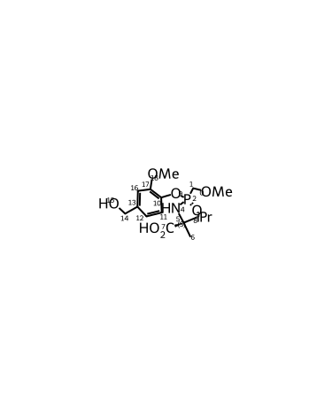 COCP(=O)(N[C@](C)(C(=O)O)C(C)C)Oc1ccc(CO)cc1OC